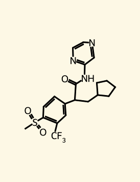 CS(=O)(=O)c1ccc(C(CC2CCCC2)C(=O)Nc2cnccn2)cc1C(F)(F)F